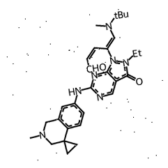 CCn1c(=O)c2cnc(Nc3ccc4c(c3)CN(C)CC43CC3)nc2n1C(/C=C\C=O)=C/N(C)C(C)(C)C